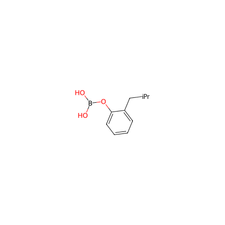 CC(C)Cc1ccccc1OB(O)O